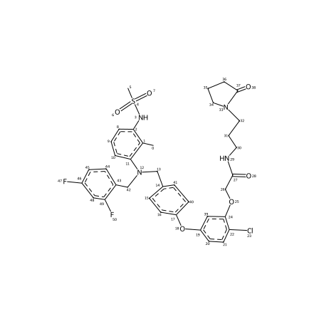 Cc1c(NS(C)(=O)=O)cccc1N(Cc1ccc(Oc2ccc(Cl)c(OCC(=O)NCCCN3CCCC3=O)c2)cc1)Cc1ccc(F)cc1F